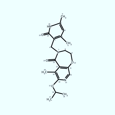 Cc1cc(C)c(CN2CCOc3cnc(OC(C)C)c(C)c3C2=O)c(=O)[nH]1